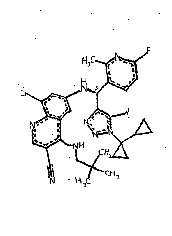 Cc1nc(F)ccc1[C@H](Nc1cc(Cl)c2ncc(C#N)c(NCC(C)(C)C)c2c1)c1nnn(C2(C3CC3)CC2)c1I